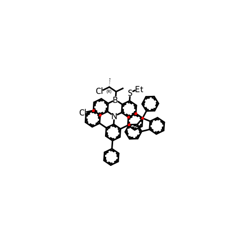 CCSc1cc(C2(c3ccccc3)c3ccccc3-c3ccccc32)cc2c1B(C(C)[C@@H](C)Cl)c1ccc(Cl)cc1N2c1c(-c2ccccc2)cc(-c2ccccc2)cc1-c1ccccc1